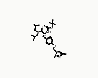 Cc1cc(COc2ccc(C[C@H](NC(=O)OC(C)(C)C)C(=O)N(CC(C)C)CC(C)C)cc2)n(C)n1